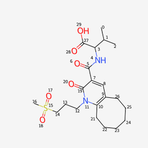 CC(C)C(NC(=O)c1cc2c(n(CCCS(C)(=O)=O)c1=O)CCCCCC2)C(=O)O